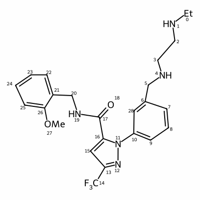 CCNCCNCc1cccc(-n2nc(C(F)(F)F)cc2C(=O)NCc2ccccc2OC)c1